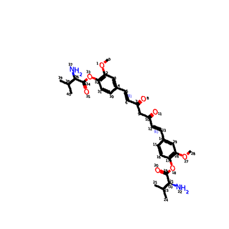 COc1cc(/C=C/C(=O)CC(=O)/C=C/c2ccc(OC(=O)[C@@H](N)C(C)C)c(OC)c2)ccc1OC(=O)C(N)C(C)C